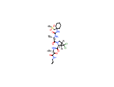 C=CCNC(=O)C(=O)[C@H](CCCC)NC(=O)[C@@H]1[C@@H]2[C@H](CN1C(=O)[C@@H](NC(=O)NC1(CS(=O)(=O)C(C)(C)C)CCCCC1)C(C)(C)C)C2(Cl)Cl